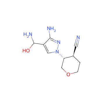 N#C[C@H]1CCOC[C@@H]1n1cc(C(N)O)c(N)n1